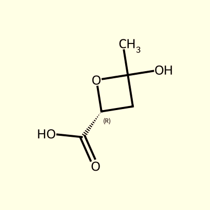 CC1(O)C[C@H](C(=O)O)O1